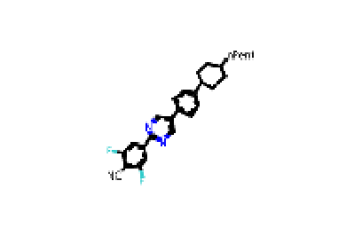 CCCCCC1CCC(c2ccc(-c3cnc(-c4cc(F)c(C#N)c(F)c4)nc3)cc2)CC1